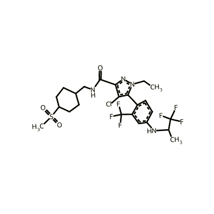 CCn1nc(C(=O)NCC2CCC(S(C)(=O)=O)CC2)c(Cl)c1-c1ccc(NC(C)C(F)(F)F)cc1C(F)(F)F